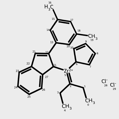 CC[C](CC)=[Zr+2]([CH]1C=CC=C1)[CH]1C(c2cc(C)cc(C)c2)=Cc2ccccc21.[Cl-].[Cl-]